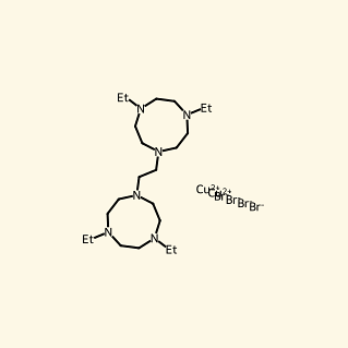 CCN1CCN(CC)CCN(CCN2CCN(CC)CCN(CC)CC2)CC1.[Br-].[Br-].[Br-].[Br-].[Cu+2].[Cu+2]